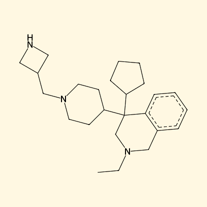 CCN1Cc2ccccc2C(C2CCCC2)(C2CCN(CC3CNC3)CC2)C1